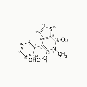 Cn1c(OC=O)c(-c2ccccc2)c2ccsc2c1=O